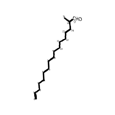 C=CCCCCCCCCCCCCCC(C)C=O